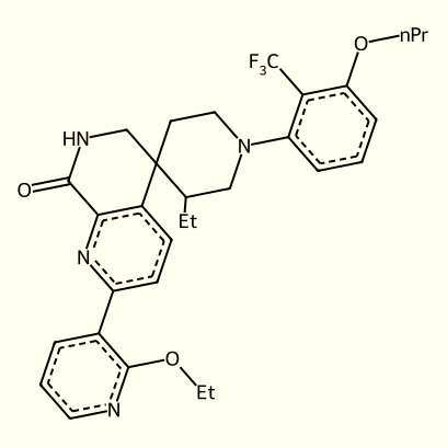 CCCOc1cccc(N2CCC3(CNC(=O)c4nc(-c5cccnc5OCC)ccc43)C(CC)C2)c1C(F)(F)F